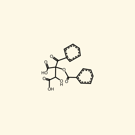 O=C(OC(C(=O)O)(C(=O)c1ccccc1)C(O)C(=O)O)c1ccccc1